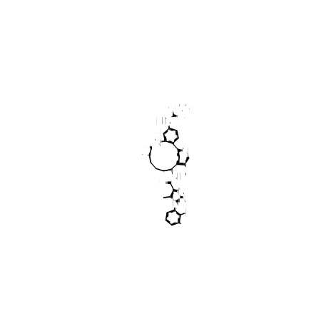 COC(=O)Nc1ccc2c(c1)NC(=O)[C@H](C)CCC[C@H](NC(=O)c1nnn(-c3cccc(Cl)c3F)c1C)c1cc-2ncc1F